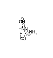 COC(=O)N(C)c1ccc(Nc2cc(NCc3cccc4cc[nH]c34)c(C(N)=O)cn2)cc1